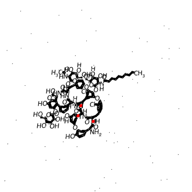 CCCCCCCCCC(=O)N[C@H]1[C@H](Oc2c3cc4cc2Oc2ccc(cc2Cl)[C@@H](O[C@@H]2O[C@H](CO)[C@@H](O)[C@H](O)[C@H]2NC(C)=O)[C@@H]2NC(=O)[C@H](NC(=O)[C@@H]4NC(=O)[C@H]4NC(=O)[C@@H](Cc5ccc(c(Cl)c5)O3)NC(=O)[C@H](N)c3ccc(O)c(c3)Oc3cc(O)cc4c3)c3ccc(O)c(c3)-c3c(O[C@H]4O[C@H](CO)[C@@H](O)[C@H](O)[C@@H]4O)cc(O)cc3[C@@H](C(=O)O)NC2=O)O[C@H](CO)[C@@H](O)[C@@H]1O